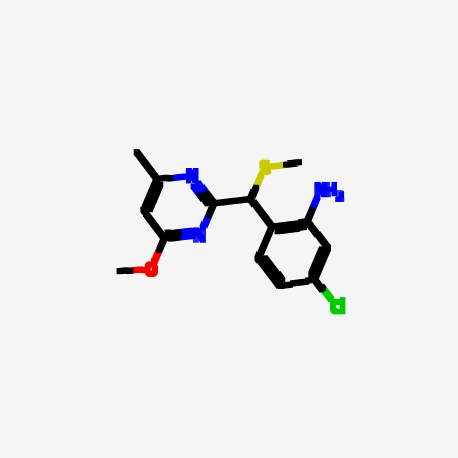 COc1cc(C)nc(C(SC)c2ccc(Cl)cc2N)n1